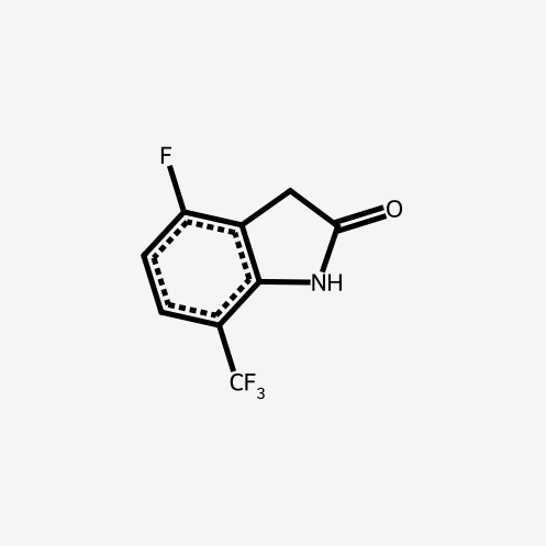 O=C1Cc2c(F)ccc(C(F)(F)F)c2N1